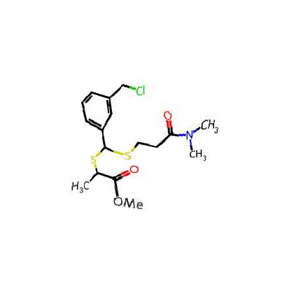 COC(=O)C(C)SC(SCCC(=O)N(C)C)c1cccc(CCl)c1